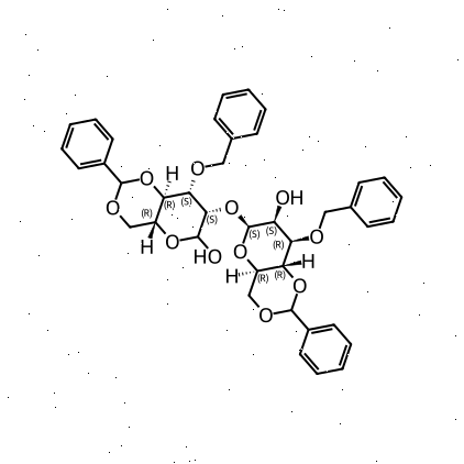 OC1O[C@@H]2COC(c3ccccc3)O[C@H]2[C@H](OCc2ccccc2)[C@@H]1O[C@@H]1O[C@@H]2COC(c3ccccc3)O[C@H]2[C@H](OCc2ccccc2)[C@@H]1O